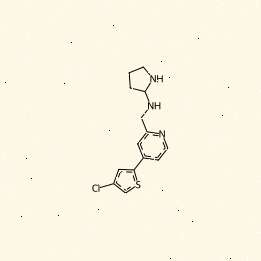 Clc1csc(-c2ccnc(CNC3CCCN3)c2)c1